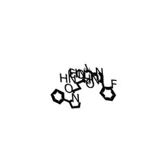 C[C@H](NC(=O)C(CC(=O)N1CCCC1c1ccccc1)NC(=O)O)c1ncc(-c2ccccc2F)[nH]1